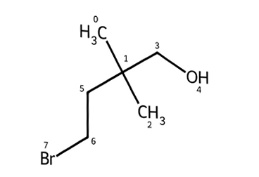 CC(C)(CO)CCBr